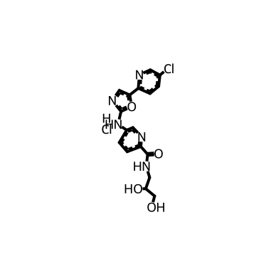 Cl.O=C(NCC(O)CO)c1ccc(Nc2ncc(-c3ccc(Cl)cn3)o2)cn1